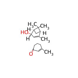 CC1=CC(=O)CCC1.CC1=C[C@H](O)[C@@H]2C[C@H]1C2(C)C